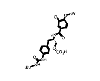 CCCOc1ccc(C(=O)N[C@H](COC(=O)O)Cc2ccc(NC(=O)NC(C)(C)C)cc2)cc1Cl